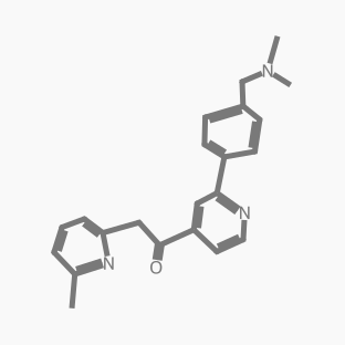 Cc1cccc(CC(=O)c2ccnc(-c3ccc(CN(C)C)cc3)c2)n1